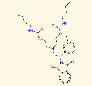 CCCCNC(=O)OCCN(CCOC(=O)NCCCC)CC(c1cccc(C)c1)N1C(=O)c2ccccc2C1=O